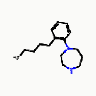 CCCCCc1ccc[c]c1N1CCCNCC1